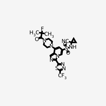 CC(C)(F)C(=O)N1CCN(c2cc(S(=O)(=O)NC3(C#N)CC3)cn3c(-c4nnc(C(F)(F)F)s4)ncc23)CC1